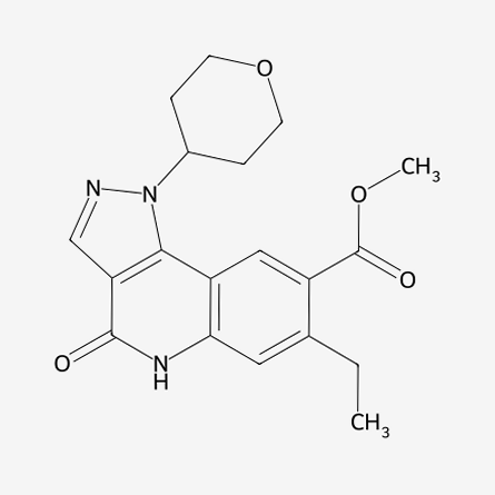 CCc1cc2[nH]c(=O)c3cnn(C4CCOCC4)c3c2cc1C(=O)OC